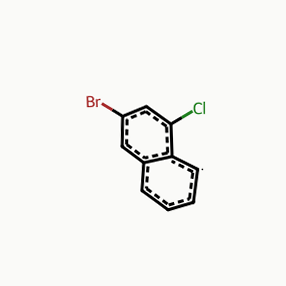 Clc1cc(Br)cc2ccc[c]c12